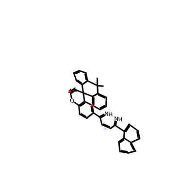 CC1(C)c2ccccc2C2(c3ccccc3Oc3ccc(C(=N)/C=C\C(=N)c4cccc5ccccc45)cc32)c2ccccc21